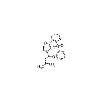 CN(C)CC(=O)N1C=COC(C2=C(S(=O)(=O)c3ccccc3)C=CCC2)=C1